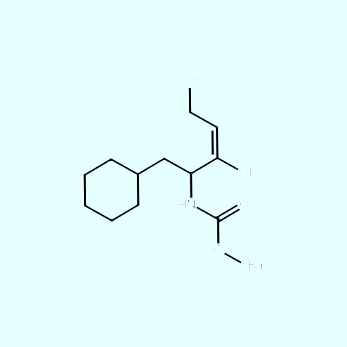 CC(C)C/C=C(/O)C(CC1CCCCC1)NC(=O)OC(C)(C)C